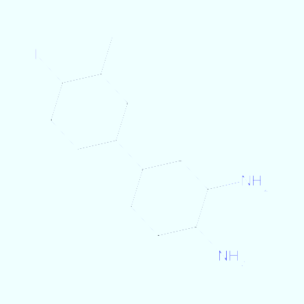 CC1CC(C2CCC(N)C(N)C2)CCC1I